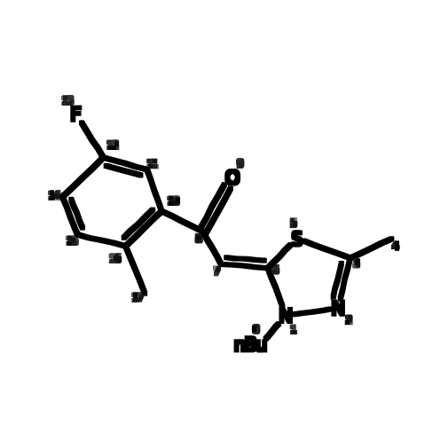 CCCCN1N=C(C)SC1=CC(=O)c1cc(F)ccc1C